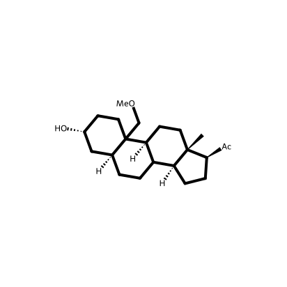 COCC12CC[C@@H](O)C[C@@H]1CCC1[C@@H]2CC[C@]2(C)[C@@H](C(C)=O)CC[C@@H]12